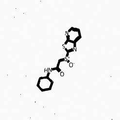 O=C(C[S+]([O-])c1nc2cccnc2s1)NC1CCCCC1